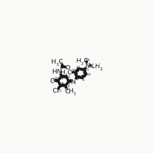 CC(=O)NC1=CC(=Nc2ccc(N(C)C)cc2C)C(C)=C(Cl)C1=O